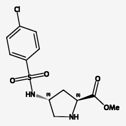 COC(=O)[C@@H]1C[C@@H](NS(=O)(=O)c2ccc(Cl)cc2)CN1